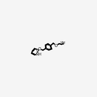 [18F]CCOCc1ccc(CON2C=CC=CN2)cc1